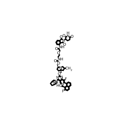 C#Cc1c(F)ccc2cccc(-c3ncc4c(N5CC6CCC(C5)N6)nc(OC[C@@]56CC[C@@H](COC(=O)NCCOCC(=O)Nc7cccc8c7C(=O)N(C7CCC(=O)NC7=O)C8=O)N5CC(=C)C6)nc4c3F)c12